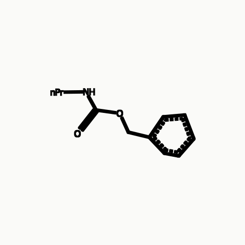 C[CH]CNC(=O)OCc1ccccc1